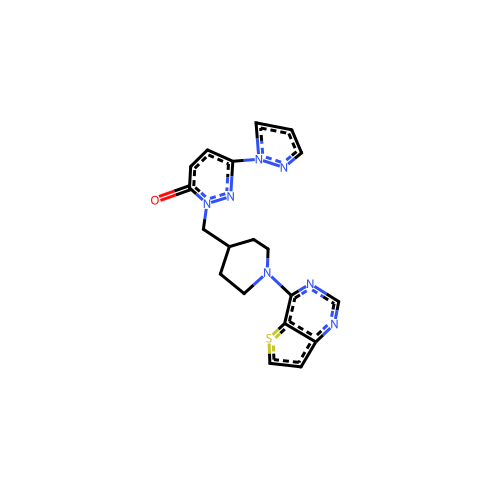 O=c1ccc(-n2cccn2)nn1CC1CCN(c2ncnc3ccsc23)CC1